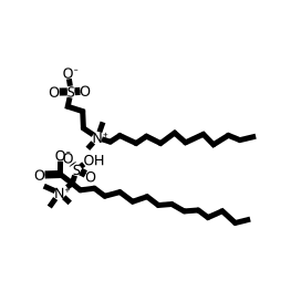 CCCCCCCCCCCCCCC(C(=O)[O-])([N+](C)(C)C)S(=O)(=O)O.CCCCCCCCCCCC[N+](C)(C)CCCS(=O)(=O)[O-]